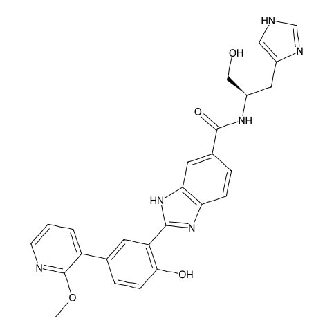 COc1ncccc1-c1ccc(O)c(-c2nc3ccc(C(=O)N[C@@H](CO)Cc4c[nH]cn4)cc3[nH]2)c1